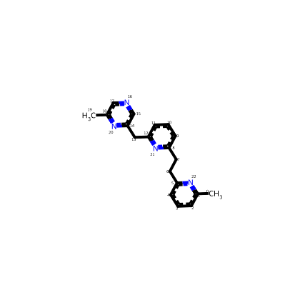 Cc1cccc(CCc2cccc(Cc3cncc(C)n3)n2)n1